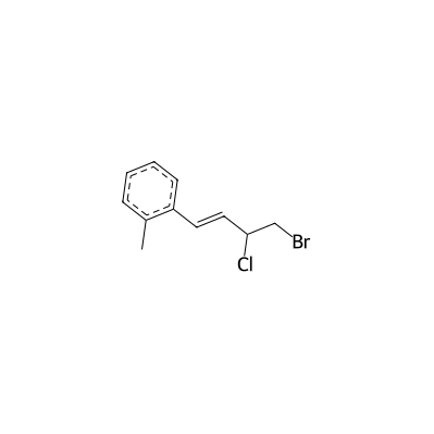 Cc1ccccc1/C=C/C(Cl)CBr